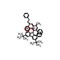 C=C(/C=C(\C(=C\c1ccccc1)n1c2ccc(C(C)(C)C)cc2c2cc(C(C)(C)C)cc(-c3ccccc3)c21)c1ccccc1)/C(=C/C(=N\Cc1ccccc1)c1ccccc1)NC